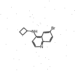 Brc1ccc2nccc(NC3CCC3)c2c1